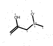 C=C(O)C[S+](C)[O-]